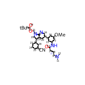 COc1cc(NC(=O)/C=C/CN(C)C)cc(-c2cnc3c(c2)c(-c2cccc(C#N)c2)cn3COC(=O)C(C)(C)C)c1